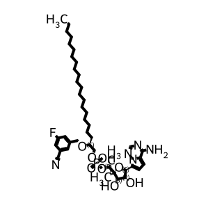 CCCCCCCCCCCCCCCCCCCC[C@@H](COP(=O)(O)O[C@@H](C)[C@@]1(C)O[C@@H](c2ccc3c(N)ncnn23)[C@H](O)[C@@H]1O)OCc1cc(F)cc(C#N)c1